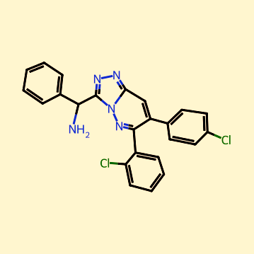 NC(c1ccccc1)c1nnc2cc(-c3ccc(Cl)cc3)c(-c3ccccc3Cl)nn12